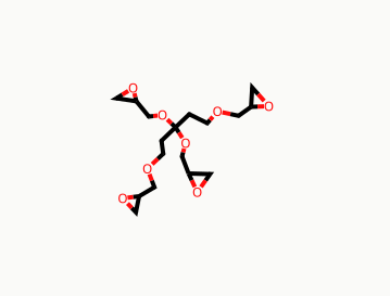 C(CC(CCOCC1CO1)(OCC1CO1)OCC1CO1)OCC1CO1